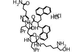 CC(C)CC(NC(=O)CC(O)C(CC(C)C)[N+]1(NC(=O)C(Cc2cccc3ccccc23)Cc2cccc3ccccc23)C=NC(CCC(N)=O)=C1)C(=O)NCCCCC(N)CO.Cl.Cl